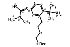 CCCCCCCCCCCCCCc1ccccc1C(C)(C)N.CN(C)C(=S)S